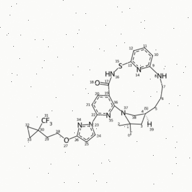 CC1(C)C[C@@H]2CCCNc3cccc(n3)SNC(=O)c3ccc(-n4ccc(OCCC5(C(F)(F)F)CC5)n4)nc3N1C2